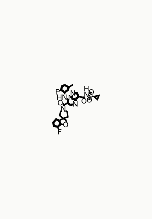 Cc1ccc(F)c(Nc2c(C(=O)N3CCC4(CC3)COc3c(F)cccc34)cnc3c(C(=O)NS(=O)(=O)C4CC4)cnn23)c1